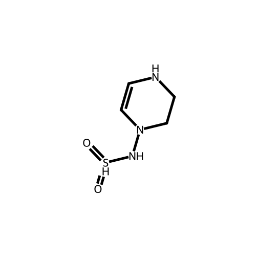 O=[SH](=O)NN1C=CNCC1